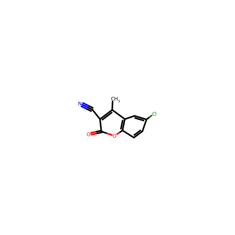 Cc1c(C#N)c(=O)oc2ccc(Cl)cc12